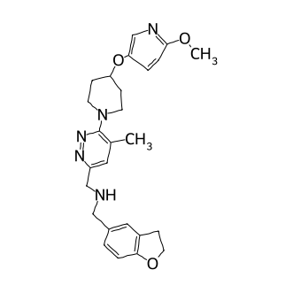 COc1ccc(OC2CCN(c3nnc(CNCc4ccc5c(c4)CCO5)cc3C)CC2)cn1